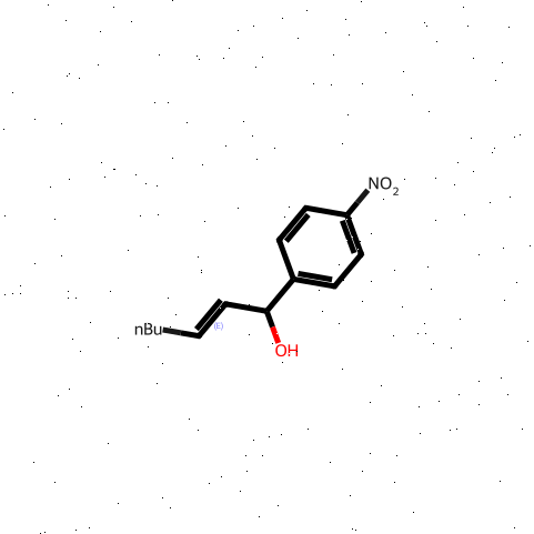 CCCC/C=C/C(O)c1ccc([N+](=O)[O-])cc1